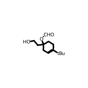 CC(C)(C)C1=CCC(CCO)(OC=O)CC1